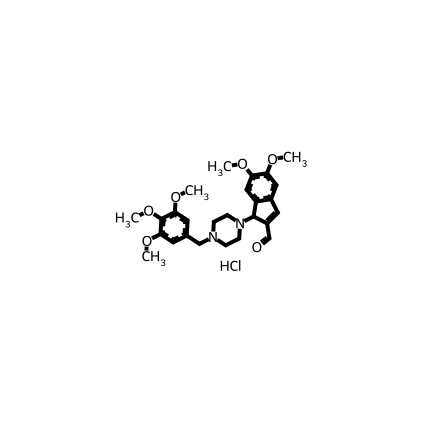 COc1cc2c(cc1OC)C(N1CCN(Cc3cc(OC)c(OC)c(OC)c3)CC1)C(C=O)=C2.Cl